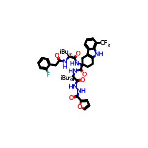 CCC(C)[C@H](NC(=O)Cc1ccccc1F)C(=O)N[C@]1(C(=O)N[C@H](C(=O)NNC(=O)c2ccco2)C(C)CC)CCc2[nH]c3c(C(F)(F)F)cccc3c2C1